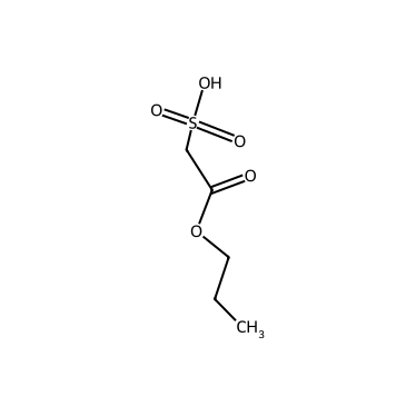 CCCOC(=O)CS(=O)(=O)O